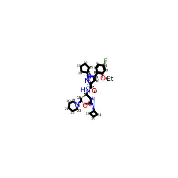 CCOc1cc(F)ccc1-c1cc(C(=O)N[C@@H](CCN2CCCCC2)CC(=O)NC2CCC2)nn1C1CCCC1